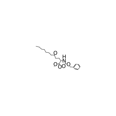 CCCCCCCC(=O)CCC(NC(=O)OCc1ccccc1)C(=O)OC